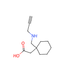 C#CCNCC1(CC(=O)O)CCCCC1